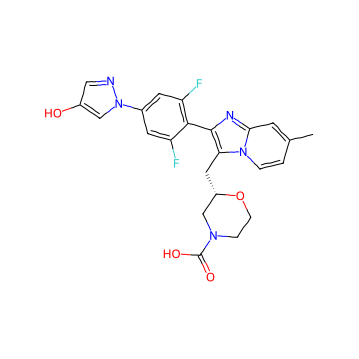 Cc1ccn2c(C[C@H]3CN(C(=O)O)CCO3)c(-c3c(F)cc(-n4cc(O)cn4)cc3F)nc2c1